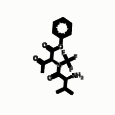 CC(=O)[C@@H](C(=O)Oc1ccccc1)N(C(=O)[C@@H](N)C(C)C)C(F)(F)F